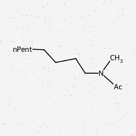 CCCCCCCCCN(C)C(C)=O